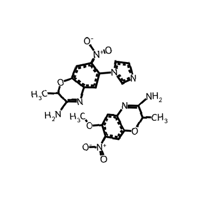 CC1Oc2cc([N+](=O)[O-])c(-n3ccnc3)cc2N=C1N.COc1cc2c(cc1[N+](=O)[O-])OC(C)C(N)=N2